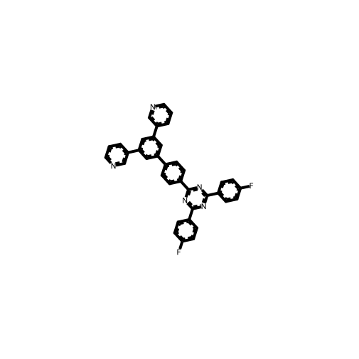 Fc1ccc(-c2nc(-c3ccc(F)cc3)nc(-c3ccc(-c4cc(-c5cccnc5)cc(-c5cccnc5)c4)cc3)n2)cc1